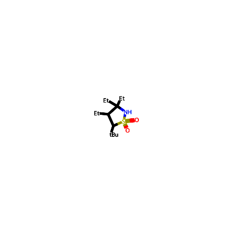 CCC1C(C(C)(C)C)S(=O)(=O)NC1(CC)CC